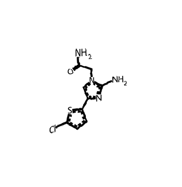 NC(=O)Cn1cc(-c2ccc(Cl)s2)nc1N